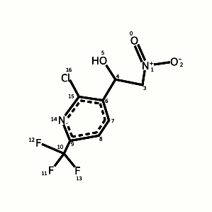 O=[N+]([O-])CC(O)c1ccc(C(F)(F)F)nc1Cl